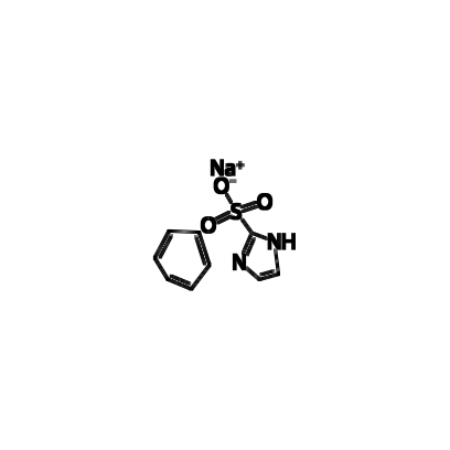 O=S(=O)([O-])c1ncc[nH]1.[Na+].c1ccccc1